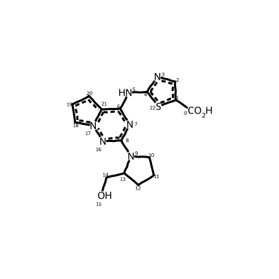 O=C(O)c1cnc(Nc2nc(N3CCCC3CO)nn3cccc23)s1